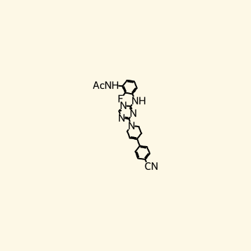 CC(=O)Nc1cccc(Nc2ncnc(N3CC=C(c4ccc(C#N)cc4)CC3)n2)c1F